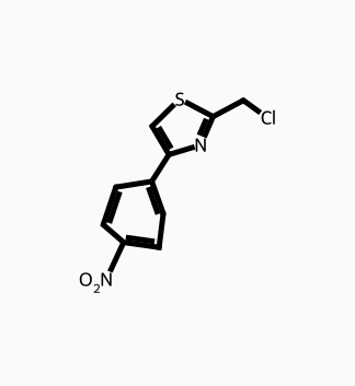 O=[N+]([O-])c1ccc(-c2csc(CCl)n2)cc1